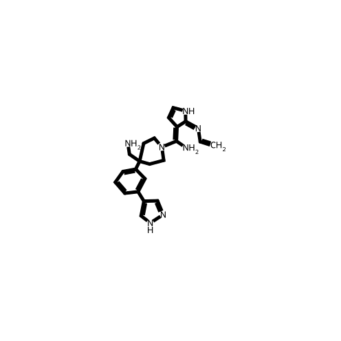 C=C/N=C1/NC=C/C1=C(/N)N1CCC(CN)(c2cccc(-c3cn[nH]c3)c2)CC1